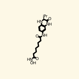 CC(C)[C@@H]1Nc2ccc(NC(=O)CCCCCCC(=O)NO)cc2NC1=O